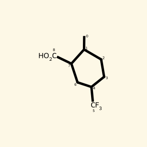 CC1CCC(C(F)(F)F)CC1C(=O)O